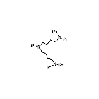 CC(C)N(CCCCN(C(C)C)C(C)C)CCCCN(C(C)C)C(C)C